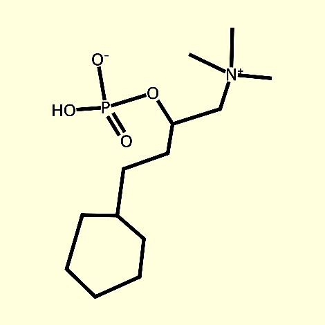 C[N+](C)(C)CC(CCC1CCCCC1)OP(=O)([O-])O